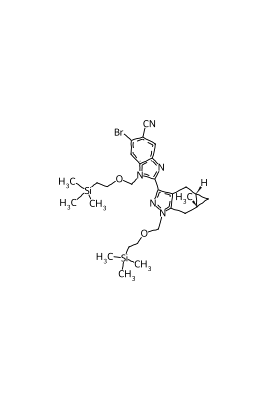 C[C@@]12Cc3c(c(-c4nc5cc(C#N)c(Br)cc5n4COCC[Si](C)(C)C)nn3COCC[Si](C)(C)C)C[C@@H]1C2